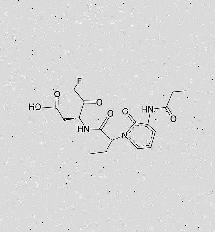 CCC(=O)Nc1cccn(C(CC)C(=O)N[C@@H](CC(=O)O)C(=O)CF)c1=O